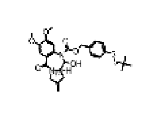 C=C1C[C@H]2C(O)N(C(=O)OCc3ccc(SSC(C)(C)C)cc3)c3cc(OC)c(OC)cc3C(=O)N2C1